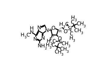 CNc1nc(N)nc2c1ncn2[C@@H]1O[C@H](CO[Si](C)(C)C(C)(C)C)C(O[Si](C)(C)C(C)(C)C)[C@H]1F